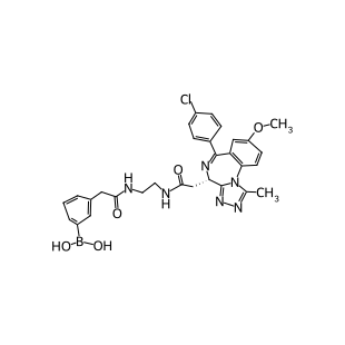 COc1ccc2c(c1)C(c1ccc(Cl)cc1)=N[C@@H](CC(=O)NCCNC(=O)Cc1cccc(B(O)O)c1)c1nnc(C)n1-2